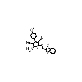 COc1ccc(-c2c(C#N)c(N)nc(SCc3nc4ccccc4[nH]3)c2C#N)cc1